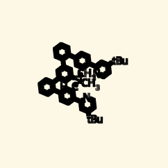 CC(C)(C)c1ccnc(-c2ccc(-c3ccccc3-c3cc(-c4ccccc4-c4ccc(-c5cc(C(C)(C)C)ccn5)cc4)cc([Si](C)(C)C)c3)cc2)c1